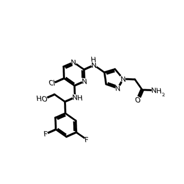 NC(=O)Cn1cc(Nc2ncc(Cl)c(NC(CO)c3cc(F)cc(F)c3)n2)cn1